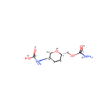 NC(=O)OC[C@@H]1CC[C@@H](NC(=O)O)CO1